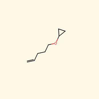 C=CCCCOC1CC1